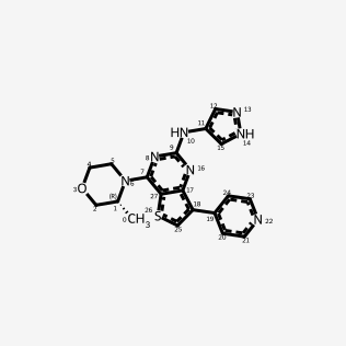 C[C@@H]1COCCN1c1nc(Nc2cn[nH]c2)nc2c(-c3ccncc3)csc12